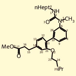 CCCCCCCNC(=O)N(C)c1cccc(-c2ccc(CCC(=O)OC)cc2OCCC(C)C)c1